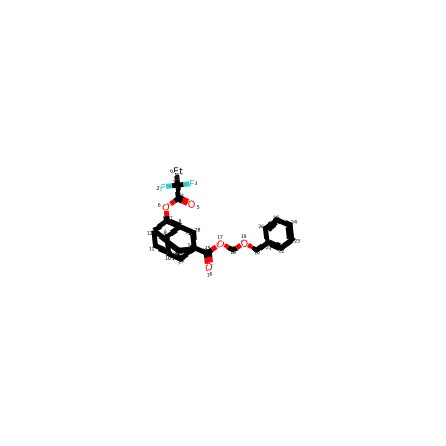 CCC(F)(F)C(=O)OC1C2CC3CC1CC(C(=O)OCOCc1ccccc1)(C3)C2